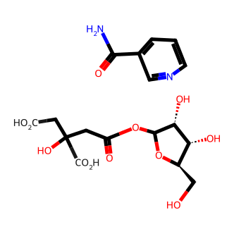 NC(=O)c1cccnc1.O=C(O)CC(O)(CC(=O)OC1O[C@H](CO)[C@@H](O)[C@H]1O)C(=O)O